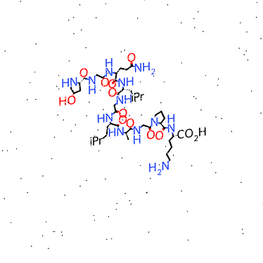 CC(C)CC[C@@H](NC(=O)CNC(=O)[C@@H](CC(C)C)NC(=O)[C@H](CCC(N)=O)NC(=O)CNC(=O)[C@@H]1C[C@@H](O)CN1)C(=O)N[C@H](C)C(=O)NCC(=O)N1CCC[C@H]1C(=O)N[C@@H](CCCCN)C(=O)O